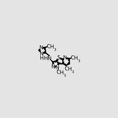 Cc1cc(C)c2c(n1)sc1c(NCc3[nH]cnc3C)nn(C)c12